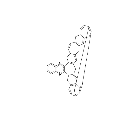 C1=CC2CC3=C4C=C2CC2=C1CC1C=CC5=C(C=C6CC7=C(CC(C=C3)C(=C7)C4)c3nc4ccccc4nc3C6C5)CC1=C2